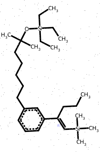 CCC/C(=C\[Si](C)(C)C)c1cccc(CCCCCC(C)(C)O[Si](CC)(CC)CC)c1